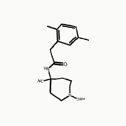 CON1CCC(C#N)(NC(=O)Cc2cc(C)ccc2C)CC1